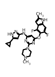 Cc1cc2c(F)c(Oc3cc(Nc4cc(C5CC5)[nH]n4)nc(N4CCN(C)CC4)n3)c(F)cc2[nH]1